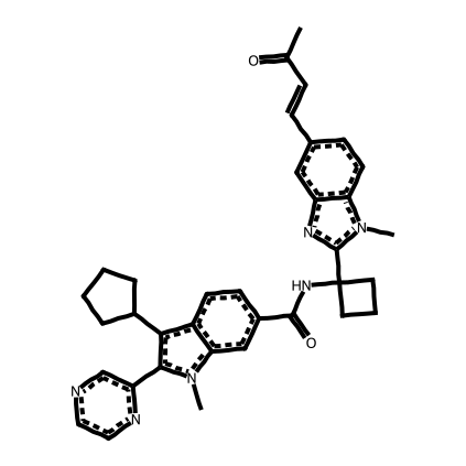 CC(=O)/C=C/c1ccc2c(c1)nc(C1(NC(=O)c3ccc4c(C5CCCC5)c(-c5cnccn5)n(C)c4c3)CCC1)n2C